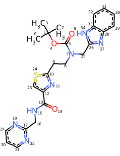 CC(C)(C)OC(=O)N(CCc1nc(C(=O)NCc2ncccn2)cs1)Cc1nc2ccccc2[nH]1